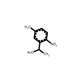 CC(=O)OC(C)c1cc(C)ccc1[N+](=O)[O-]